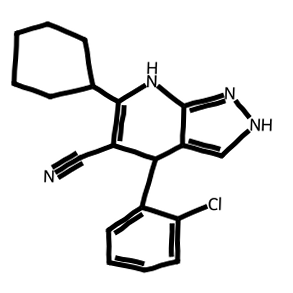 N#CC1=C(C2CCCCC2)Nc2n[nH]cc2C1c1ccccc1Cl